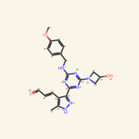 COc1ccc(CNc2nc(-c3n[nH]c(C)c3C=CC=O)nc(N3CC(O)C3)n2)cc1